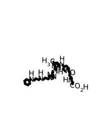 Cc1cc(NC2CCN(C(=O)CCNCC(=O)O)CC2)nc(NCc2ncn(CCCNCCCNC3CCCCC3)n2)n1